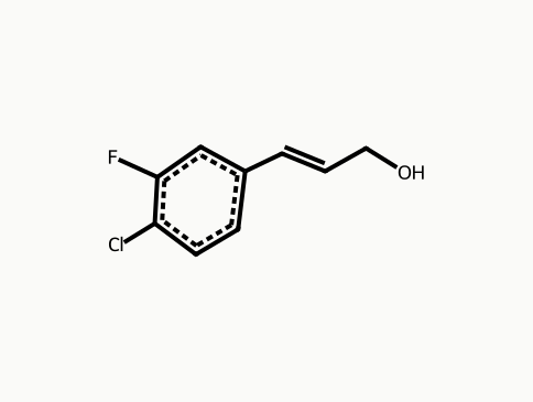 OCC=Cc1ccc(Cl)c(F)c1